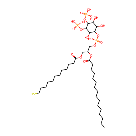 CCCCCCCCCCCCCCCC(=O)O[C@H](COC(=O)CCCCCCCCCCCS)COP(=O)(O)OC1C(O)[C@@H](OP(=O)(O)O)C(OP(=O)(O)O)[C@@H](O)[C@H]1O